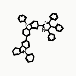 C1=CC(N2C3=C(CCC=C3)C3C=C(C4=CC5C6=CC(C7=NC(c8ccccc8)C(c8ccccc8)C(c8ccccc8)=N7)CC=C6N(c6ccccc6)C5C=C4)C=CC32)=CCC1